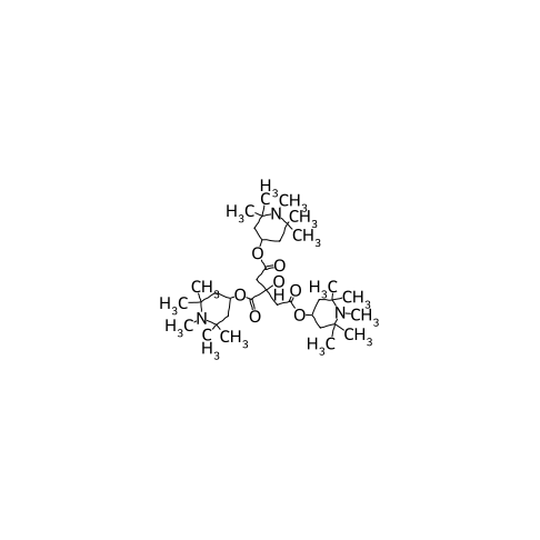 CN1C(C)(C)CC(OC(=O)CC(O)(CC(=O)OC2CC(C)(C)N(C)C(C)(C)C2)C(=O)OC2CC(C)(C)N(C)C(C)(C)C2)CC1(C)C